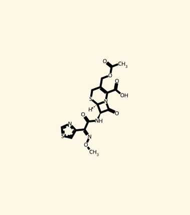 CON=C(C(=O)N[C@@H]1C(=O)N2C(C(=O)O)=C(COC(C)=O)CS[C@H]12)c1cscn1